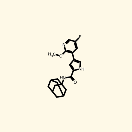 COc1ncc(F)cc1-c1c[nH]c(C(=O)NC23CC4CC(CC(C4)C2)C3)c1